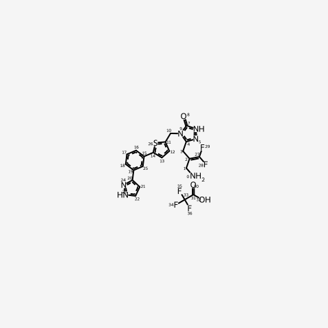 NCC(Cc1n[nH]c(=O)n1Cc1ccc(-c2cccc(-c3cc[nH]n3)c2)s1)=C(F)F.O=C(O)C(F)(F)F